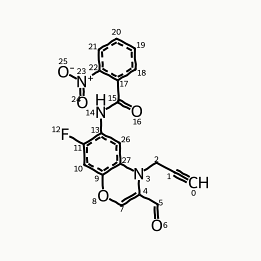 C#CCN1C(C=O)=COc2cc(F)c(NC(=O)c3ccccc3[N+](=O)[O-])cc21